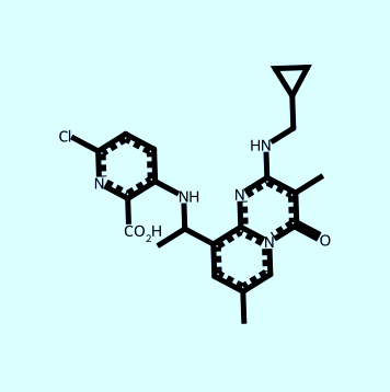 Cc1cc(C(C)Nc2ccc(Cl)nc2C(=O)O)c2nc(NCC3CC3)c(C)c(=O)n2c1